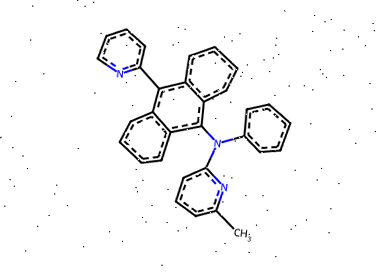 Cc1cccc(N(c2ccccc2)c2c3ccccc3c(-c3ccccn3)c3ccccc23)n1